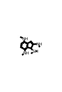 CNC1=Cc2c(NC)ccc(NC)c2C1[SiH](C)C